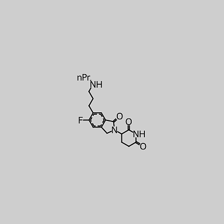 CCCNCCCc1cc2c(cc1F)CN(C1CCC(=O)NC1=O)C2=O